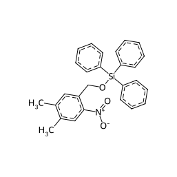 Cc1cc(CO[Si](c2ccccc2)(c2ccccc2)c2ccccc2)c([N+](=O)[O-])cc1C